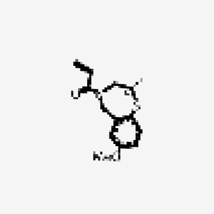 C=CC(=O)N1Cc2cc(OC)ccc2S[C@@H](C)C1